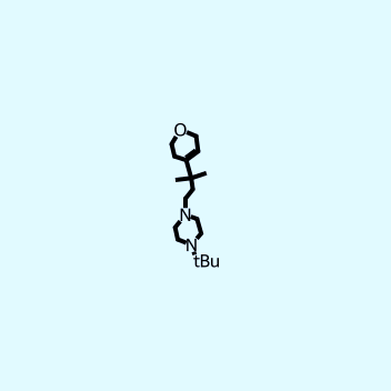 CC(C)(CCN1CCN(C(C)(C)C)CC1)C1=CCOCC1